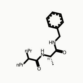 CCCC(CCC)C(=O)N[C@@H](C)C(=O)NCc1ccccc1